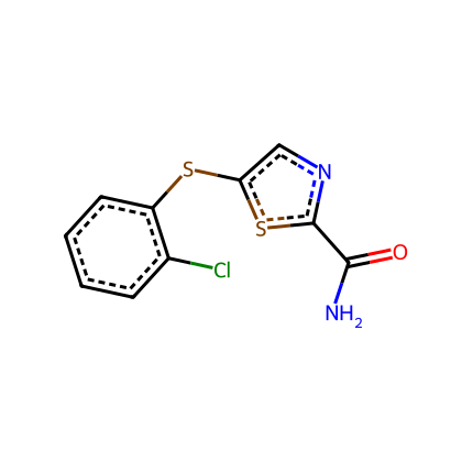 NC(=O)c1ncc(Sc2ccccc2Cl)s1